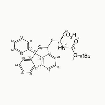 CC(C)(C)OC(=O)N[C@@H](CCSC(c1ccccc1)(c1ccccc1)c1ccccc1)C(=O)O